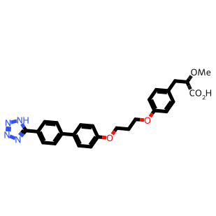 COC(Cc1ccc(OCCCOc2ccc(-c3ccc(-c4nnn[nH]4)cc3)cc2)cc1)C(=O)O